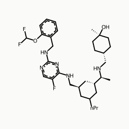 CCCC1C[C@@H](CNc2nc(NCc3ccccc3OC(F)F)ncc2F)C[C@H]([C@H](C)NC[C@H]2CC[C@](C)(O)CC2)C1